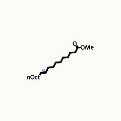 CCCCCCCC/C=C/CCCCCCCCC(=O)OC